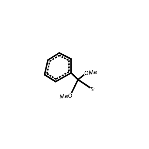 COC([S])(OC)c1ccccc1